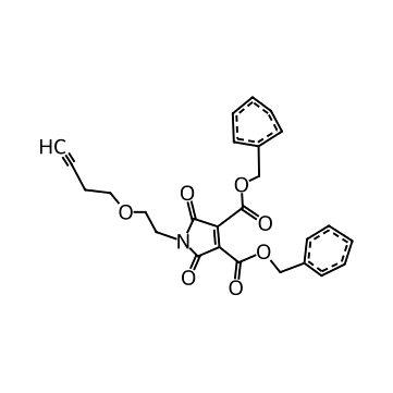 C#CCCOCCN1C(=O)C(C(=O)OCc2ccccc2)=C(C(=O)OCc2ccccc2)C1=O